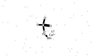 O=P([O-])([O-])[O-].[Ca+2].[Li+].[Mn][Fe]